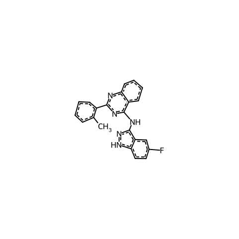 Cc1ccccc1-c1nc(Nc2n[nH]c3ccc(F)cc23)c2ccccc2n1